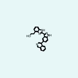 OCCc1cccc2[nH]c(-c3n[nH]c4ccc(-c5cncc6ccccc56)cc34)nc12